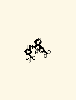 CN(C)C(=O)c1cccc(Nc2nc3[nH]c(C(=O)O)cc3c3cnccc23)c1